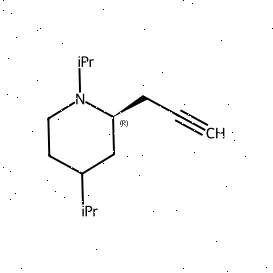 C#CC[C@H]1CC(C(C)C)CCN1C(C)C